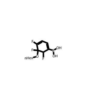 CCCCCCOC1(F)C(F)=CC=C(B(O)O)C1F